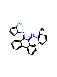 CC(C)c1cccc(C(C)C)c1/N=C1/C(=N/C2C=CC=C2Br)c2ccccc2-c2ccccc21